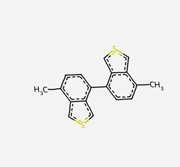 Cc1ccc(-c2ccc(C)c3cscc23)c2cscc12